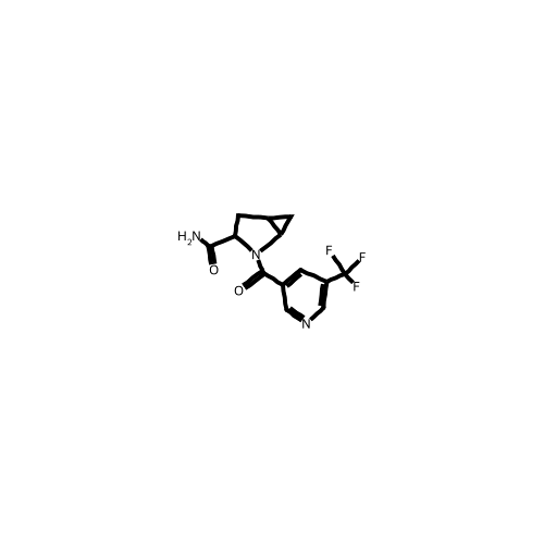 NC(=O)C1CC2CC2N1C(=O)c1cncc(C(F)(F)F)c1